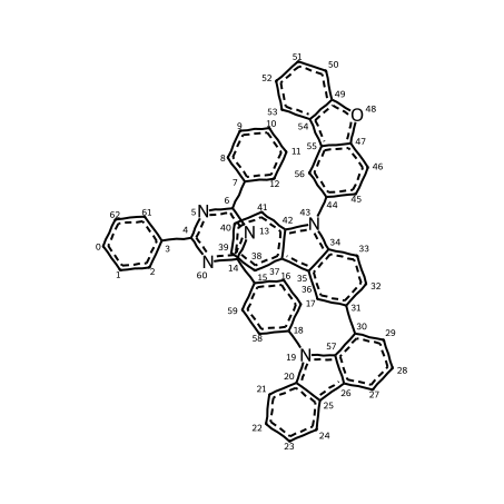 c1ccc(-c2nc(-c3ccccc3)nc(-c3ccc(-n4c5ccccc5c5cccc(-c6ccc7c(c6)c6ccccc6n7-c6ccc7oc8ccccc8c7c6)c54)cc3)n2)cc1